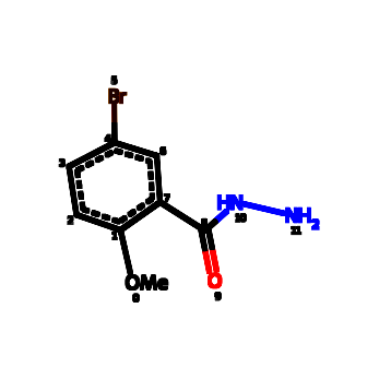 COc1ccc(Br)cc1C(=O)NN